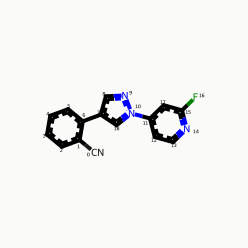 N#Cc1ccccc1-c1cnn(-c2ccnc(F)c2)c1